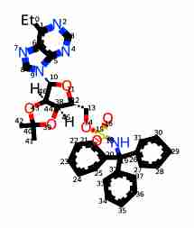 CCc1ncnc2c1ncn2[C@@H]1O[C@H](COS(=O)(=O)NC(c2ccccc2)(c2ccccc2)c2ccccc2)[C@H]2OC(C)(C)O[C@H]21